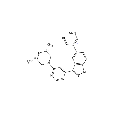 CN/C=C(\C=N)c1ccc2[nH]nc(-c3cc(N4C[C@@H](C)O[C@@H](C)C4)ncn3)c2c1